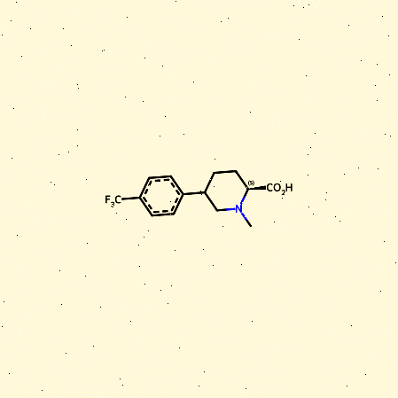 CN1CC(c2ccc(C(F)(F)F)cc2)CC[C@H]1C(=O)O